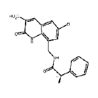 C[C@@H](C(=O)NCc1cc(Cl)cc2cc(C(=O)O)c(=O)[nH]c12)c1ccccc1